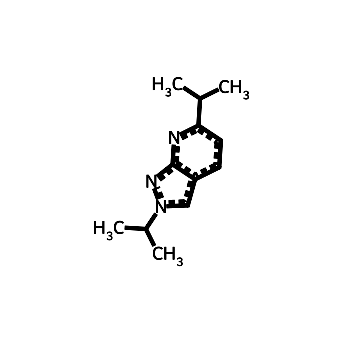 CC(C)c1ccc2cn(C(C)C)nc2n1